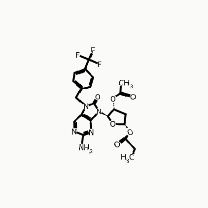 CCC(=O)O[C@H]1C[C@@H](OC(C)=O)[C@H](n2c(=O)n(Cc3ccc(C(F)(F)F)cc3)c3cnc(N)nc32)O1